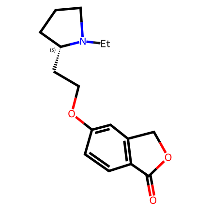 CCN1CCC[C@H]1CCOc1ccc2c(c1)COC2=O